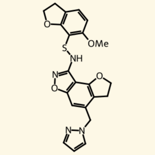 COc1ccc2c(c1SNc1noc3cc(Cn4cccn4)c4c(c13)OCC4)OCC2